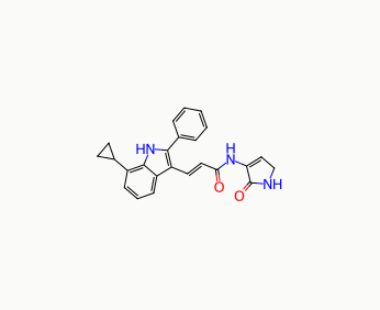 O=C(C=Cc1c(-c2ccccc2)[nH]c2c(C3CC3)cccc12)NC1=CCNC1=O